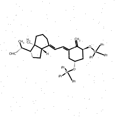 C=C1/C(=C/C=C2CCC[C@]3(C)[C@@H]([C@@H](C)C=O)CC[C@@H]23)C[C@@H](O[Si](C(C)C)(C(C)C)C(C)C)C[C@@H]1O[Si](C(C)C)(C(C)C)C(C)C